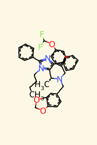 CCCCn1c(-c2ccccc2)nc(-c2ccccc2)c1[C@H](C)N(Cc1ccc(OC(F)F)cc1)Cc1ccc2c(c1)OCO2